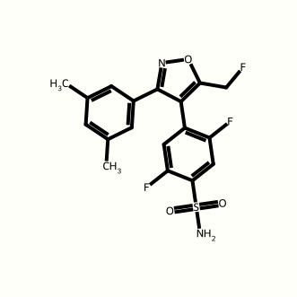 Cc1cc(C)cc(-c2noc(CF)c2-c2cc(F)c(S(N)(=O)=O)cc2F)c1